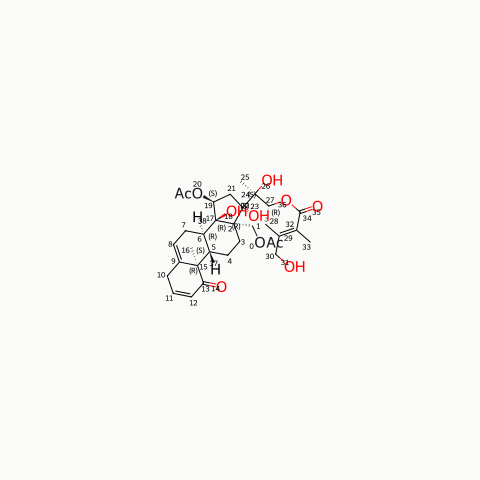 CC(=O)OC[C@]12CC[C@H]3[C@@H](CC=C4CC=CC(=O)[C@@]43C)[C@]1(O)[C@@H](OC(C)=O)C[C@@]2(O)[C@@](C)(O)[C@H]1CC(CO)=C(C)C(=O)O1